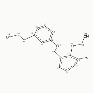 Cc1cccc(COc2cccc(CCBr)c2)c1OCC#N